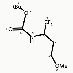 COCCC(NC(=O)OC(C)(C)C)C(F)(F)F